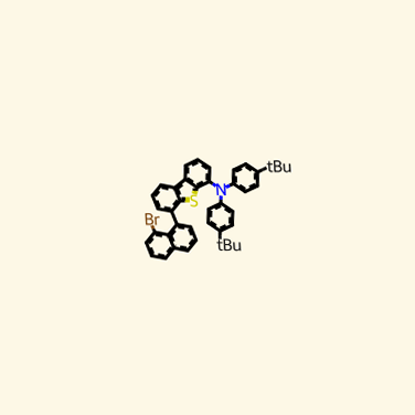 CC(C)(C)c1ccc(N(c2ccc(C(C)(C)C)cc2)c2cccc3c2sc2c(-c4cccc5cccc(Br)c45)cccc23)cc1